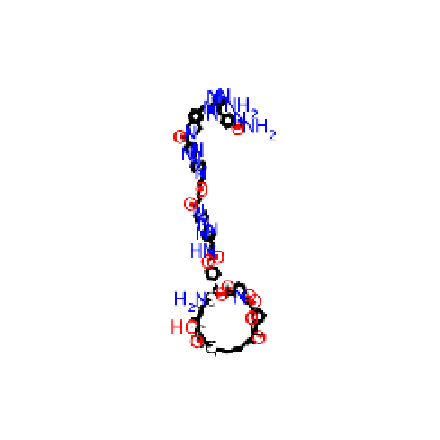 CO[C@H]1CC2CCCC(O2)C(=O)C(=O)N2CCCC[C@H]2C(=O)O[C@H](CC[C@H]2CC[C@H](OC(=O)NCc3cnc(N4CCN(C(=O)CCOCCN5CCN(c6ncc(C(=O)N7CCc8cc(Cn9nc(-c%10ccc%11oc(N)nc%11c%10)c%10c(N)ncnc%109)ccc8C7)cn6)CC5)CC4)nc3)CC2)C[C@H](N)[C@H](C)/C=C(\C)[C@@H](O)CC(=O)[C@H](C)C[C@H](C)/C=C/C=C/C=C/1C